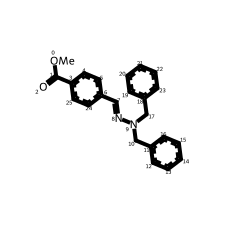 COC(=O)c1ccc(C=NN(Cc2ccccc2)Cc2ccccc2)cc1